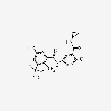 Cc1nc(C(=O)Nc2ccc(Cl)c(C(=O)NC3CC3)c2)c(C(F)(F)F)c(C(F)(F)C(F)(F)F)n1